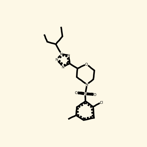 CCC(CC)n1nnc(C2CN(S(=O)(=O)c3cc(C)ccc3Cl)CCO2)n1